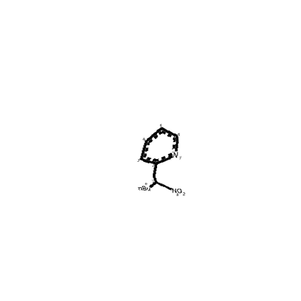 CCCCC(c1ccccn1)[N+](=O)[O-]